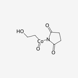 O=C1CCC(=O)[N]1[Co](=[O])[CH2]CO